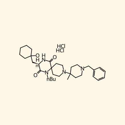 CCCCN1C(=O)[C@@H](CC2(O)CCCCC2)NC(=O)C12CCN(C1(C)CCN(Cc3ccccc3)CC1)CC2.Cl.Cl